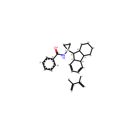 C=C(C)C(=C)C.O=C([NH][Ti]1([CH]2C3C=CC=CC3C3CCCCC32)[CH2][CH2]1)c1ccccc1